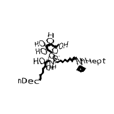 CCCCCCCCCCCCCC[C@@H](O)[C@@H](O)[C@H](COC1OC(CO)C(O)C(O)C1O)N[S+]([O-])CCCCCCCCN(CCCCCCC)C12CC(C1)C2